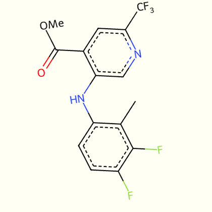 COC(=O)c1cc(C(F)(F)F)ncc1Nc1ccc(F)c(F)c1C